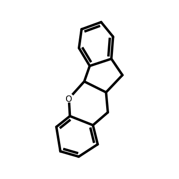 c1ccc2c(c1)CC1Cc3ccccc3C1O2